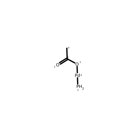 CC(=O)[O][Pd][PH2]